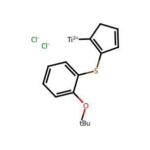 CC(C)(C)Oc1ccccc1SC1=[C]([Ti+2])CC=C1.[Cl-].[Cl-]